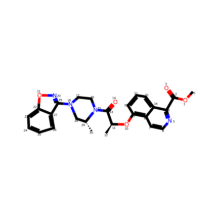 COC(=O)c1nccc2c(O[C@@H](C)C(=O)N3CCN(c4noc5ccccc45)C[C@H]3C)cccc12